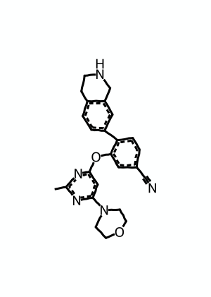 Cc1nc(Oc2cc(C#N)ccc2-c2ccc3c(c2)CNCC3)cc(N2CCOCC2)n1